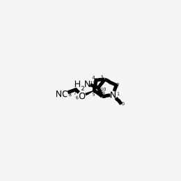 CN1CC2C[C@H](OCC#N)C1C2N